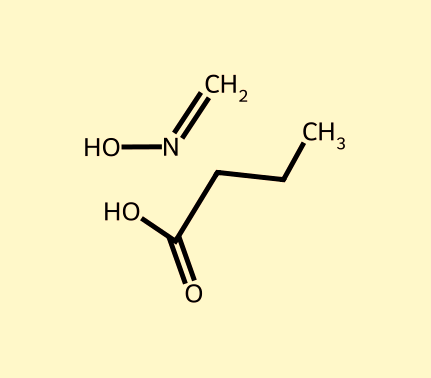 C=NO.CCCC(=O)O